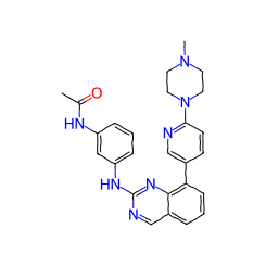 CC(=O)Nc1cccc(Nc2ncc3cccc(-c4ccc(N5CCN(C)CC5)nc4)c3n2)c1